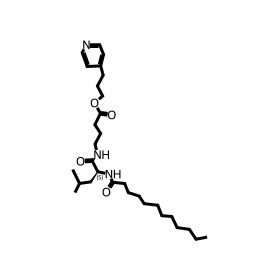 CCCCCCCCCCCC(=O)N[C@@H](CC(C)C)C(=O)NCCCC(=O)OCCCc1ccncc1